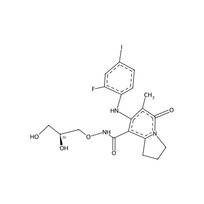 Cc1c(Nc2ccc(I)cc2F)c(C(=O)NOC[C@@H](O)CO)c2n(c1=O)CCC2